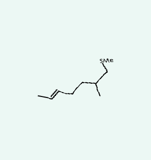 CC=CCCC(C)CSC